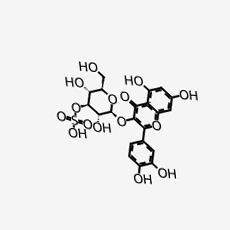 O=c1c(O[C@@H]2O[C@H](CO)[C@@H](O)[C@H](OS(=O)(=O)O)[C@H]2O)c(-c2ccc(O)c(O)c2)oc2cc(O)cc(O)c12